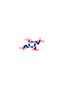 O=C(O)CN1CCN(Cc2cccc(C(=O)O)n2)CCN(CC(=O)O)CCN(Cc2cccc(C(=O)O)n2)CC1